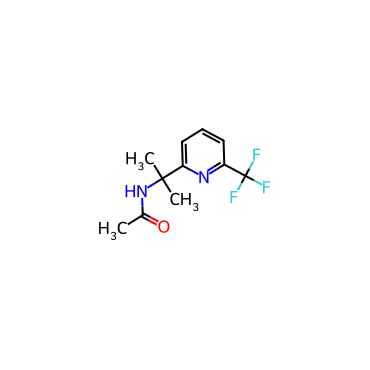 CC(=O)NC(C)(C)c1cccc(C(F)(F)F)n1